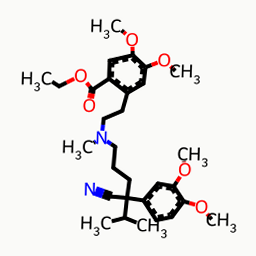 CCOC(=O)c1cc(OC)c(OC)cc1CCN(C)CCCC(C#N)(c1ccc(OC)c(OC)c1)C(C)C